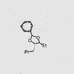 CC[C@@H]1OC(c2ccccc2)O[C@H]1CC(C)C